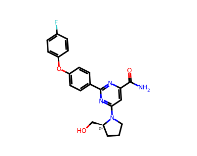 NC(=O)c1cc(N2CCC[C@H]2CO)nc(-c2ccc(Oc3ccc(F)cc3)cc2)n1